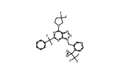 FC1(F)CCN(c2nc(C(F)(F)c3ccccc3)nc3c2nnn3Cc2cnccc2C2(C(F)(F)F)N=N2)C1